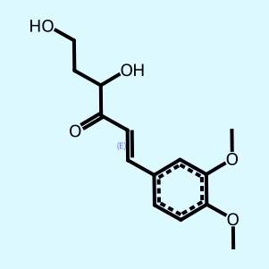 COc1ccc(/C=C/C(=O)C(O)CCO)cc1OC